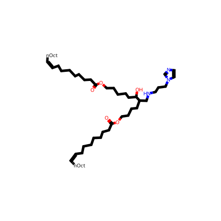 CCCCCCCC/C=C\CCCCCCCC(=O)OCCCCCC(O)C(CCCCOC(=O)CCCCCCC/C=C\CCCCCCCC)CNCCCn1ccnc1